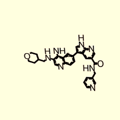 Nc1c(NCC2CCOCC2)cnc2ccc(-c3c[nH]c4ncc(C(=O)NCc5cccnc5)cc34)cc12